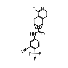 N#Cc1cc(NC(=O)N2C3CCC2c2ccnc(F)c2C3)ccc1C(F)(F)F